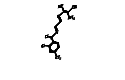 N#CC(N)=C(C#N)N=CC=NN(Cl)c1ccc(C(F)(F)F)cc1Cl